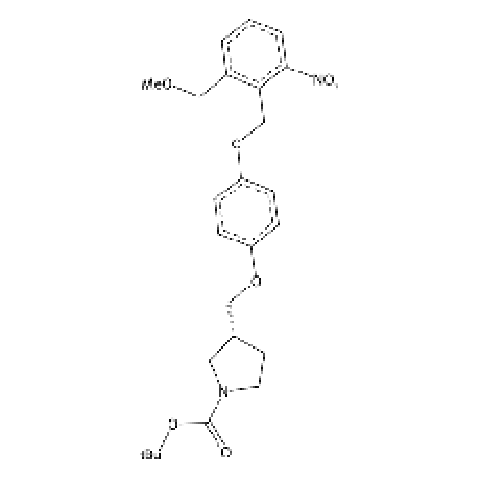 COCc1cccc([N+](=O)[O-])c1COc1ccc(OC[C@@H]2CCN(C(=O)OC(C)(C)C)C2)cc1